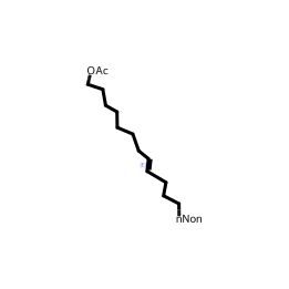 CCCCCCCCCCCC/C=C/CCCCCCCOC(C)=O